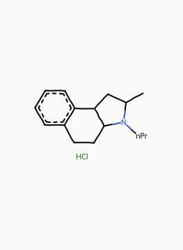 CCCN1C(C)CC2c3ccccc3CCC21.Cl